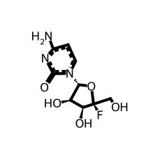 Nc1ccn([C@@H]2O[C@](F)(CO)[C@@H](O)[C@H]2O)c(=O)n1